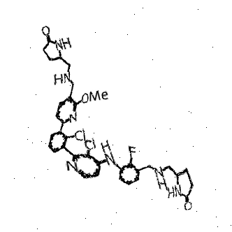 COc1nc(-c2cccc(-c3nccc(Nc4cccc(CNCC5CCC(=O)N5)c4F)c3Cl)c2Cl)ccc1CNCC1CCC(=O)N1